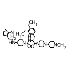 CCc1ccc(C[C@@H](NC(=O)N2CCC(NCCc3ccsc3N)CC2)C(=O)N2CCN(C3CCN(C)CC3)CC2)cc1CC